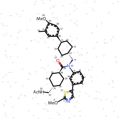 COc1ncc(-c2cccc(N(C[C@H]3CC[C@H](c4ccc(OC)c(C)c4)CC3)C(=O)[C@H]3CC[C@H](CNC(C)=O)CC3)c2)s1